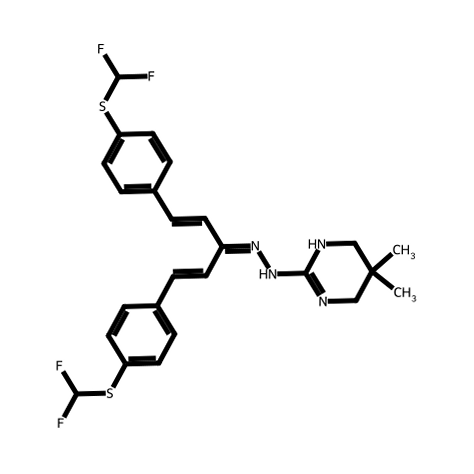 CC1(C)CN=C(NN=C(C=Cc2ccc(SC(F)F)cc2)C=Cc2ccc(SC(F)F)cc2)NC1